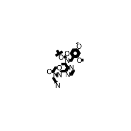 COc1ccc(CN(C(=O)OC(C)(C)C)C(C)c2nccnc2C2=NN(CC#N)C(=O)CO2)c(OC)c1